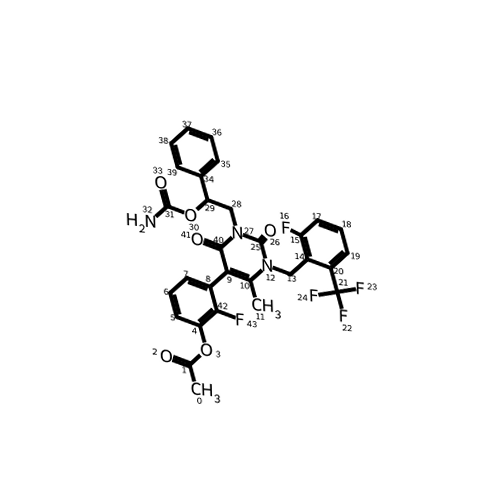 CC(=O)Oc1cccc(-c2c(C)n(Cc3c(F)cccc3C(F)(F)F)c(=O)n(CC(OC(N)=O)c3ccccc3)c2=O)c1F